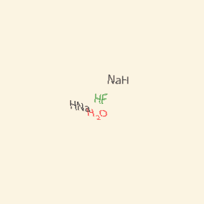 F.O.[NaH].[NaH]